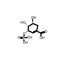 O=C(O)C1=C[C@H](OP(=O)(O)O)[C@H](O)[C@@H](O)C1